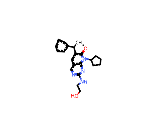 CC(c1ccccc1)c1cc2cnc(NCCO)nc2n(C2CCCC2)c1=O